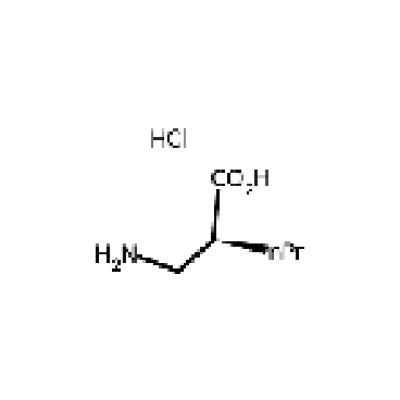 CCC[C@@H](CN)C(=O)O.Cl